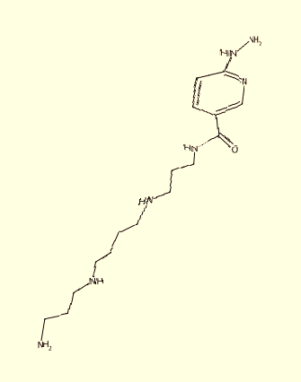 NCCCNCCCCNCCCNC(=O)c1ccc(NN)nc1